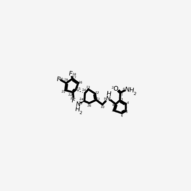 NC(=O)c1ccccc1NCC1=CC[C@@H](c2cc(F)c(F)cc2F)[C@H](N)C1